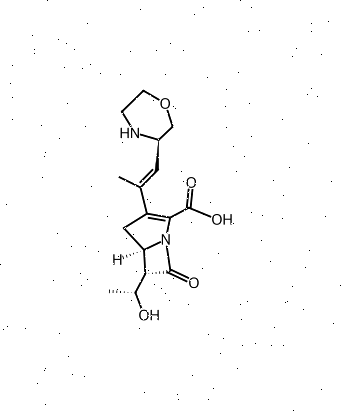 C/C(=C\[C@@H]1COCCN1)C1=C(C(=O)O)N2C(=O)[C@H]([C@@H](C)O)[C@H]2C1